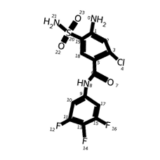 Nc1cc(Cl)c(C(=O)Nc2cc(F)c(F)c(F)c2)cc1S(N)(=O)=O